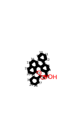 O=C(O)c1ccc(-c2ccccc2)c(-c2cccc3cccc(OC(=O)C4CCCCC4)c23)c1